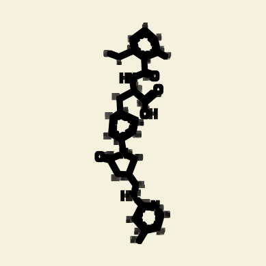 CCc1cccc(C)c1C(=O)NC(Cc1ccc(N2CC(CNc3cc(C)ccn3)CC2=O)cc1)C(=O)O